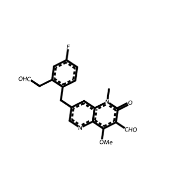 COc1c(C=O)c(=O)n(C)c2cc(Cc3ccc(F)cc3CC=O)cnc12